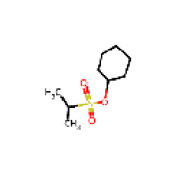 CC(C)S(=O)(=O)OC1CCCCC1